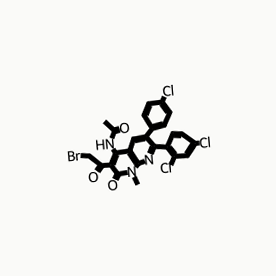 CC(=O)Nc1c(C(=O)CBr)c(=O)n(C)c2nc(-c3ccc(Cl)cc3Cl)c(-c3ccc(Cl)cc3)cc12